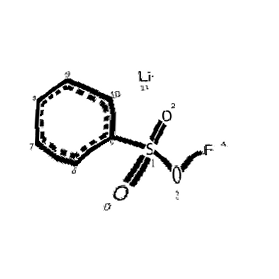 O=S(=O)(OF)c1ccccc1.[Li]